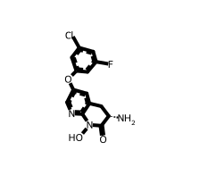 N[C@H]1Cc2cc(Oc3cc(F)cc(Cl)c3)cnc2N(O)C1=O